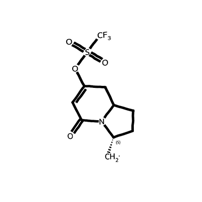 [CH2][C@H]1CCC2CC(OS(=O)(=O)C(F)(F)F)=CC(=O)N21